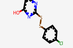 Oc1ccnc(SSc2ccc(Cl)cc2)n1